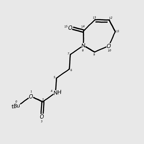 CC(C)(C)OC(=O)NCCCN1COCC=CC1=O